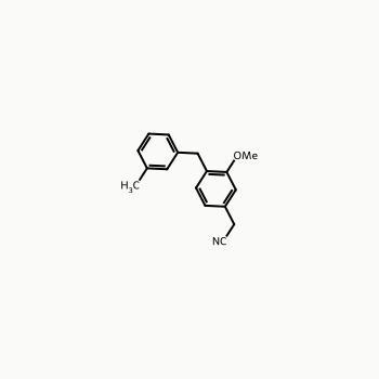 COc1cc(CC#N)ccc1Cc1cccc(C)c1